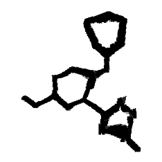 CCC1CCN(Cc2ccccc2)C(c2nnn(C)n2)C1